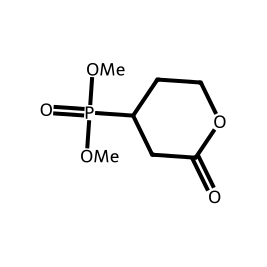 COP(=O)(OC)C1CCOC(=O)C1